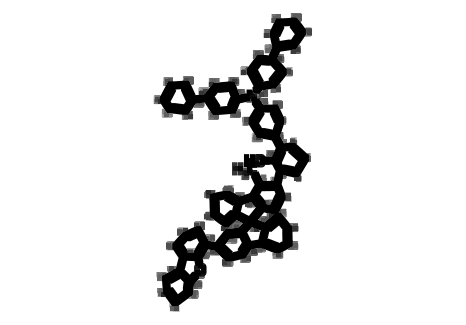 Cc1c(-c2cccc(-c3ccc(N(c4ccc(-c5ccccc5)cc4)c4ccc(-c5ccccc5)cc4)cc3)c2O)ccc2c1-c1ccccc1C21c2ccccc2-c2ccc(-c3cccc4c3oc3ccccc34)cc21